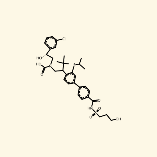 CC(C)Sc1cc(-c2ccc(C(=O)NS(=O)(=O)CCCO)cc2)ccc1C(CN(C[C@H](O)c1cccc(Cl)c1)C(=O)O)C(C)(C)C